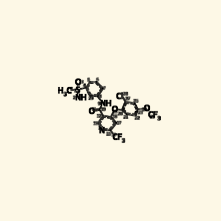 CS(=N)(=O)c1cccc(NC(=O)c2cnc(C(F)(F)F)cc2Oc2ccc(OC(F)(F)F)cc2Cl)c1